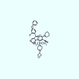 CC(C)(C(=C(C#N)C(=O)N1CCCCC1)n1nc(-c2ccc(Oc3ccccc3)cc2F)c2cncnc21)N1CCN(C2COC2)CC1